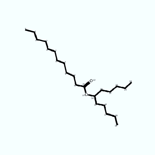 CCCCCCCCCCCC(=O)OC(CCCCC)CCCCC